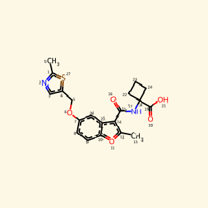 Cc1ncc(COc2ccc3oc(C)c(C(=O)NC4(C(=O)O)CCC4)c3c2)s1